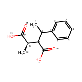 CC(c1ccccc1)C(C(=O)O)[C@@H](C)C(=O)O